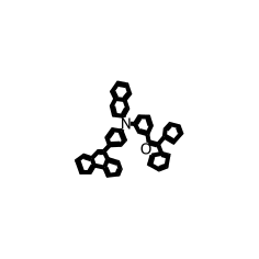 c1ccc(-c2c(-c3cccc(N(c4ccc(-c5cc6ccccc6c6ccccc56)cc4)c4ccc5ccccc5c4)c3)oc3ccccc23)cc1